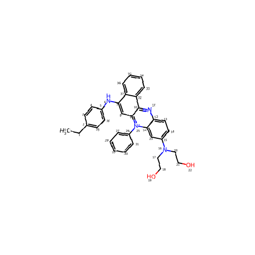 CCc1ccc(Nc2cc3c(nc4ccc(N(CCO)CCO)cc4[n+]3-c3ccccc3)c3ccccc23)cc1